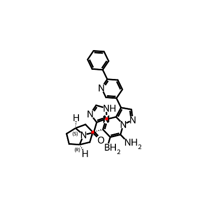 Bc1c([C@@H]2C[C@H]3CC[C@@H](C2)N3C(=O)c2nc[nH]n2)nc2c(-c3ccc(-c4ccccc4)nc3)cnn2c1N